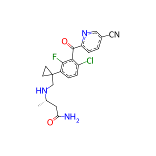 C[C@@H](CC(N)=O)NCC1(c2ccc(Cl)c(C(=O)c3ccc(C#N)cn3)c2F)CC1